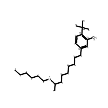 CCCCCCOC(C)CCCCCCCc1ccc(C(C)(C)C)c(O)c1